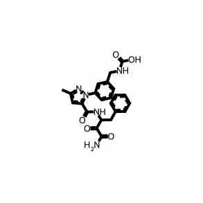 Cc1cc(C(=O)NC(Cc2ccccc2)C(=O)C(N)=O)n(-c2cccc(CNC(=O)O)c2)n1